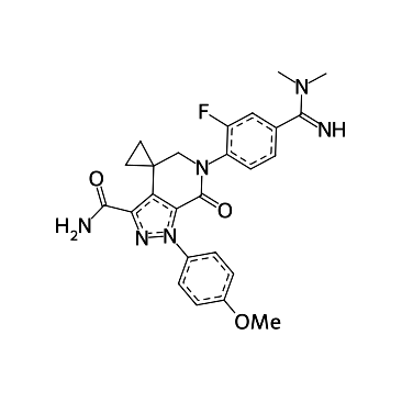 COc1ccc(-n2nc(C(N)=O)c3c2C(=O)N(c2ccc(C(=N)N(C)C)cc2F)CC32CC2)cc1